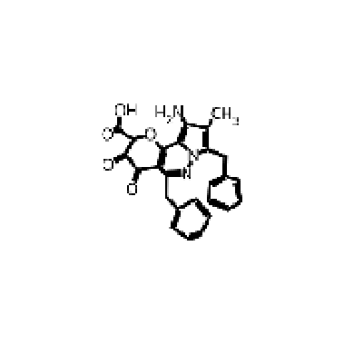 Cc1c(N)c2c3c(c(Cc4ccccc4)nn2c1Cc1ccccc1)C(=O)C(=O)C(C(=O)O)O3